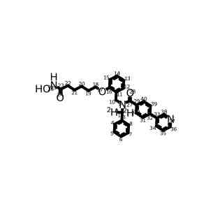 [2H]C([2H])(c1ccccc1)N(Cc1ccccc1OCCCCCC(=O)NO)C(=O)c1ccc(-c2cccnc2)cc1